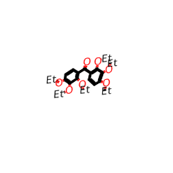 CCOc1ccc(C(=O)c2ccc(OCC)c(OCC)c2OCC)c(OCC)c1OCC